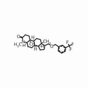 CN1C(=O)CC[C@]2(C)[C@H]3CC[C@]4(C)C(COCc5cccc(C(F)(F)F)c5)CC[C@H]4[C@@H]3CC[C@@H]12